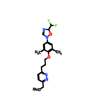 COCc1ccc(CCCOc2c(C)cc(N3C=NC(C(F)F)O3)cc2C)nn1